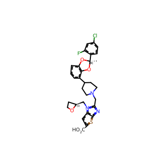 C[C@@]1(c2ccc(Cl)cc2F)Oc2cccc(C3CCN(Cc4nc5sc(C(=O)O)cc5n4C[C@@H]4CCO4)CC3)c2O1